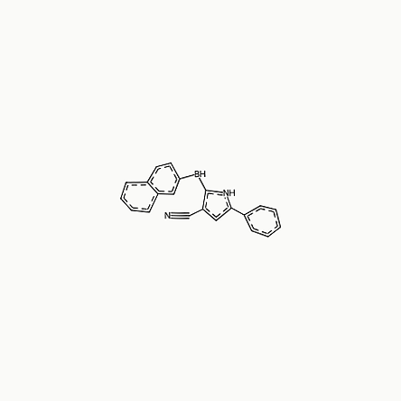 N#Cc1cc(-c2ccccc2)[nH]c1Bc1ccc2ccccc2c1